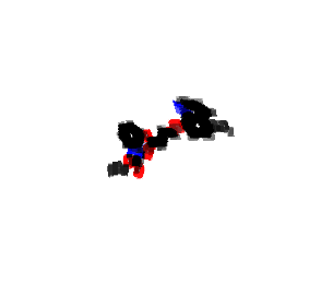 CC(C)(C)OC(=O)Nc1ccccc1OC(=O)CCCOc1ccc([N+](=O)[O-])c2cccnc12